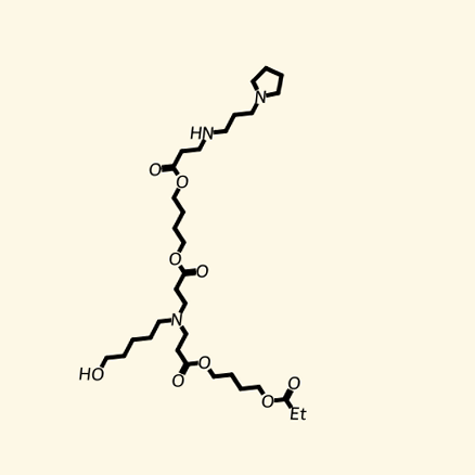 CCC(=O)OCCCCOC(=O)CCN(CCCCCO)CCC(=O)OCCCCOC(=O)CCNCCCN1CCCC1